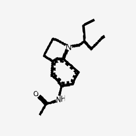 CCC(CC)N1CCc2cc(NC(C)=O)ccc21